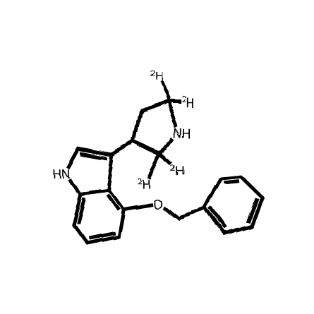 [2H]C1([2H])CC(c2c[nH]c3cccc(OCc4ccccc4)c23)C([2H])([2H])N1